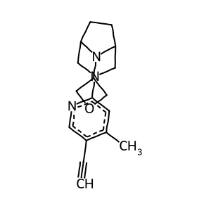 C#Cc1cnc(N2CC3CCC(C2)N3C2COC2)cc1C